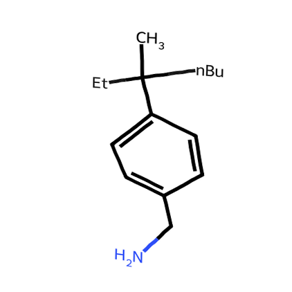 CCCCC(C)(CC)c1ccc(CN)cc1